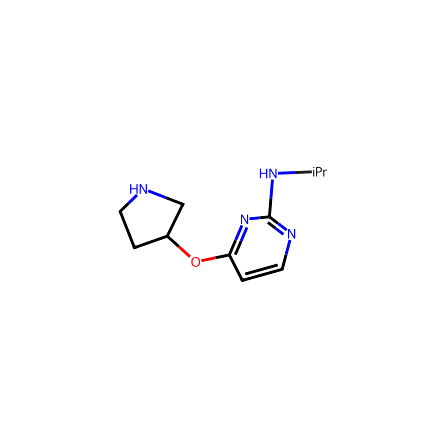 CC(C)Nc1nccc(OC2CCNC2)n1